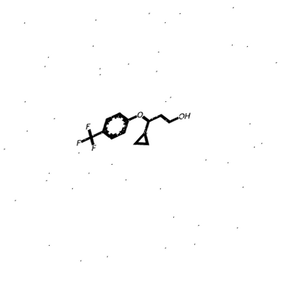 OCCC(Oc1ccc(C(F)(F)F)cc1)C1CC1